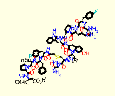 CCCC[C@@H](C(=O)N1CCC[C@@H]1C(=O)N[C@H](C=O)CC(=O)O)N(C)C(=O)[C@H](Cc1ccccc1)N(C)C(=O)[C@H](Cc1ccc(F)cc1)NC(=O)CSC[C@H](NC(=O)[C@H](CC(C)C)NC(=O)[C@H](Cc1ccc(O)cc1)NC(=O)[C@H](Cc1c[nH]c2ccccc12)NC(=O)[C@H]1CCCN1C(=O)[C@H](CCCN)NCC(=O)[C@H](Cc1ccc(F)cc1)N(C)C(=O)[C@@H](N)C(C)C)C(=O)NCC(N)=O